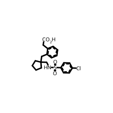 O=C(O)Cc1ccccc1CC1(CNS(=O)(=O)c2ccc(Cl)cc2)CCCC1